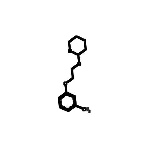 Cc1cccc(OCCOC2CCCCO2)c1